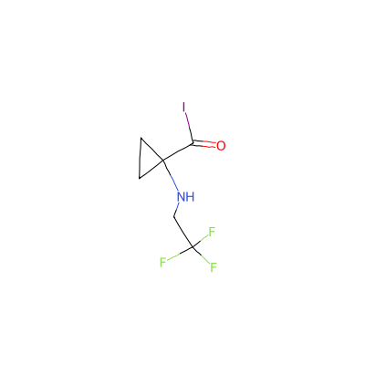 O=C(I)C1(NCC(F)(F)F)CC1